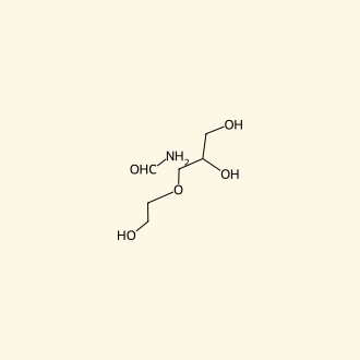 NC=O.OCCOCC(O)CO